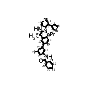 C=C(c1nc2c(-c3ccsc3)cncc2[nH]1)c1cc(-c2cc(I)cc(NC(=O)c3ccccc3)c2)ccc1CCC